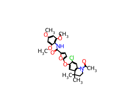 COc1cc(OC)c(NC(=O)c2ccc(Oc3cc4c(cc3Cl)N(C(C)=O)CCC4(C)C)o2)c(OC)c1